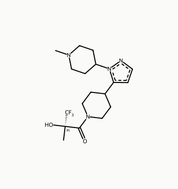 CN1CCC(n2nccc2C2CCN(C(=O)[C@@](C)(O)C(F)(F)F)CC2)CC1